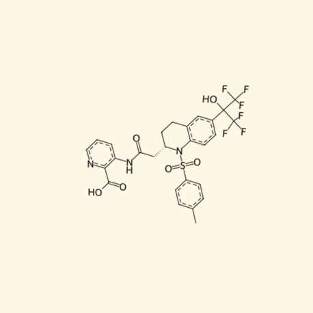 Cc1ccc(S(=O)(=O)N2c3ccc(C(O)(C(F)(F)F)C(F)(F)F)cc3CC[C@H]2CC(=O)Nc2cccnc2C(=O)O)cc1